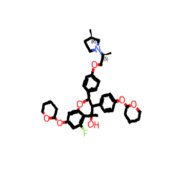 C[C@@H]1CCN([C@@H](C)COc2ccc(C3Oc4cc(OC5CCCCO5)cc(F)c4C(C)(O)C3c3ccc(OC4CCCCO4)cc3)cc2)C1